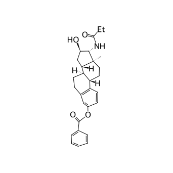 CCC(=O)N[C@H]1[C@H](O)C[C@H]2[C@@H]3CCc4cc(OC(=O)c5ccccc5)ccc4[C@H]3CC[C@@]21C